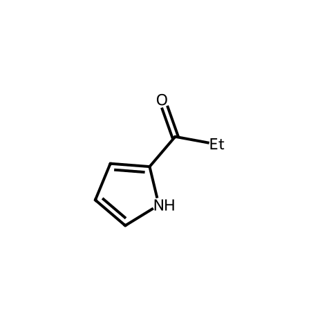 [CH2]CC(=O)c1ccc[nH]1